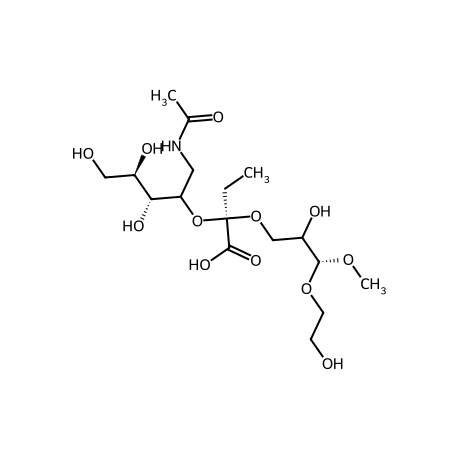 CC[C@@](OCC(O)[C@H](OC)OCCO)(OC(CNC(C)=O)[C@H](O)[C@H](O)CO)C(=O)O